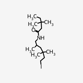 CCC(C)(C)CC(=O)NCC(C)CC(C)(C)CCI